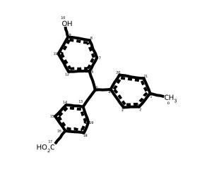 Cc1ccc(C(c2ccc(O)cc2)c2ccc(C(=O)O)cc2)cc1